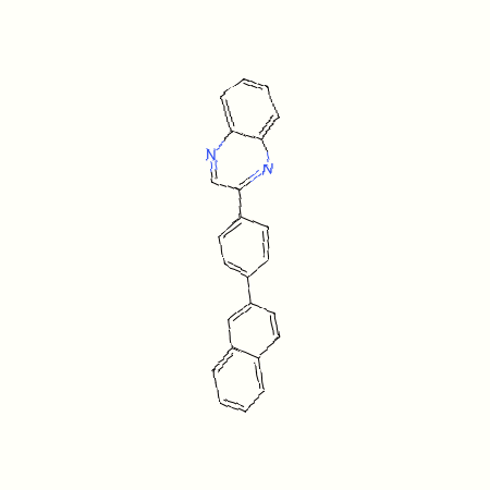 c1ccc2cc(-c3ccc(-c4cnc5ccccc5n4)cc3)ccc2c1